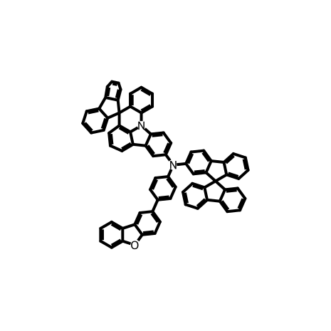 c1ccc2c(c1)-c1ccccc1C21c2ccccc2-c2ccc(N(c3ccc(-c4ccc5oc6ccccc6c5c4)cc3)c3ccc4c(c3)c3cccc5c3n4-c3ccccc3C53c4ccccc4-c4ccccc43)cc21